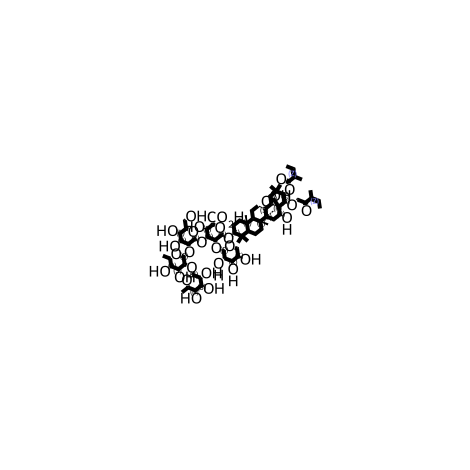 C/C=C(/C)C(=O)CO[C@H]1[C@H](OC(=O)/C(C)=C\C)C(C)(C)CC2[C@@]13[C@H](O)C[C@]1(C)[C@@]2(CCC2[C@@]4(C)CC[C@H](O[C@@H]5OC(C(=O)O)[C@@H](O)[C@@H](O[C@@H]6OC(CO)[C@H](O)[C@@H](O)C6O[C@@H]6OC(C)[C@H](O)[C@H](O)C6O[C@@H]6OC(C)[C@H](O)[C@H](O)C6O)C5O[C@@H]5OC[C@H](O)[C@@H](O)C5O)C(C)(C)C4CC[C@]21C)O[C@@H]3O